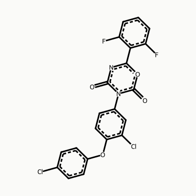 O=c1nc(-c2c(F)cccc2F)oc(=O)n1-c1ccc(Oc2ccc(Cl)cc2)c(Cl)c1